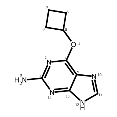 Nc1nc(OC2CCC2)c2nc[nH]c2n1